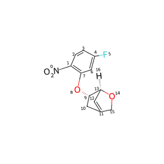 O=[N+]([O-])c1ccc(F)cc1O[C@H]1CC2=C[C@@H]1OC2